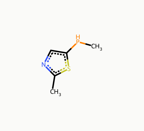 CPc1cnc(C)s1